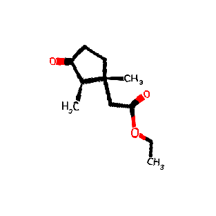 CCOC(=O)C[C@@]1(C)CCC(=O)[C@@H]1C